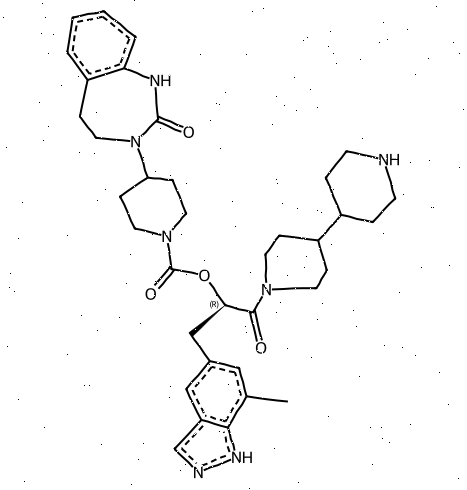 Cc1cc(C[C@@H](OC(=O)N2CCC(N3CCc4ccccc4NC3=O)CC2)C(=O)N2CCC(C3CCNCC3)CC2)cc2cn[nH]c12